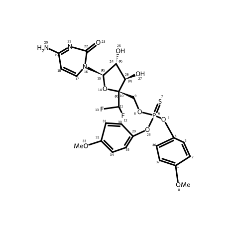 COc1ccc(OP(=S)(OC[C@@]2(C(F)F)O[C@@H](n3ccc(N)nc3=O)[C@H](O)[C@H]2O)Oc2ccc(OC)cc2)cc1